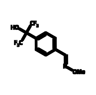 CON=Cc1ccc(C(O)(C(F)(F)F)C(F)(F)F)cc1